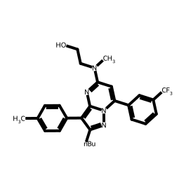 CCCCc1nn2c(-c3cccc(C(F)(F)F)c3)cc(N(C)CCO)nc2c1-c1ccc(C)cc1